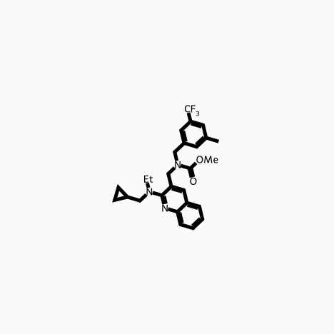 CCN(CC1CC1)c1nc2ccccc2cc1CN(Cc1cc(C)cc(C(F)(F)F)c1)C(=O)OC